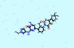 CCn1cc(Nc2nc(-c3cccc(N4CCc5c(sc6c5CC(C)(C)C6)C4=O)c3CO)cn(C)c2=O)cn1